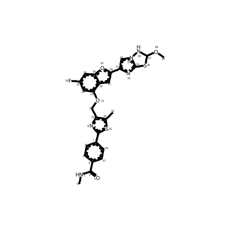 CNC(=O)c1ccc(-c2nc(COc3cc(F)cc4oc(-c5cn6c(n5)SC(OC)N6)cc34)c(C)s2)cc1